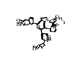 COc1ncccc1-c1c(-c2cnn(C3CNC3)c2)nc(-c2ccc3c(c2)CNC(=O)C3)c2ccsc12